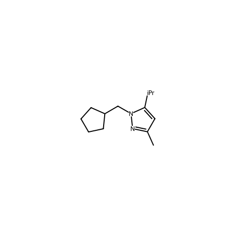 Cc1cc(C(C)C)n(CC2CCCC2)n1